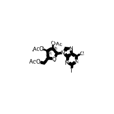 CC(=O)OCC1OC(n2cnc3c(Cl)nc(I)nc32)[C@H](OC(C)=O)[C@@H]1OC(C)=O